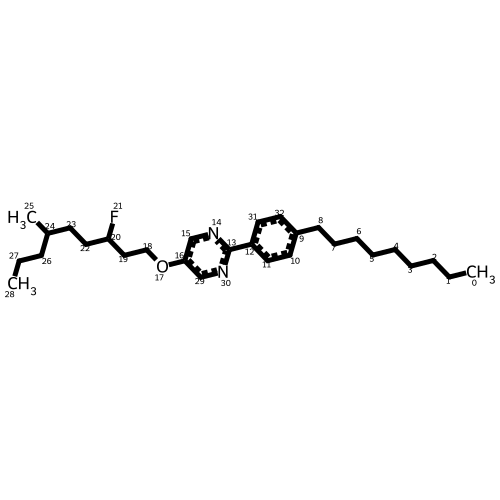 CCCCCCCCCc1ccc(-c2ncc(OCCC(F)CCC(C)CCC)cn2)cc1